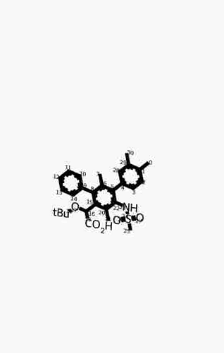 Cc1ccc(-c2c(C)c(-c3ccccc3)c(C(OC(C)(C)C)C(=O)O)c(C)c2NS(C)(=O)=O)cc1C